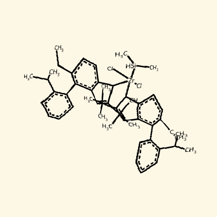 CCc1ccc2c(c1-c1ccccc1C(C)C)C=C(C(C)(C)C)[CH]2[Zr]([Cl])([Cl])([CH]1C(C(C)(C)C)=Cc2c1ccc(CC)c2-c1ccccc1C(C)C)[SiH](C)C